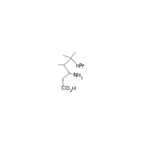 CCCC(C)(C)C(C)C(N)CC(=O)O